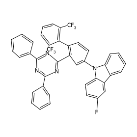 Fc1ccc2c(c1)c1ccccc1n2-c1ccc(-c2c(C(F)(F)F)cccc2C(F)(F)F)c(-c2nc(-c3ccccc3)nc(-c3ccccc3)n2)c1